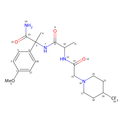 COc1ccc(C(C)(NC(=O)C(C)NC(=O)CN2CCC(C(F)(F)F)CC2)C(N)=O)cc1